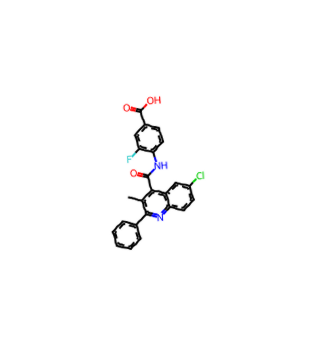 Cc1c(-c2ccccc2)nc2ccc(Cl)cc2c1C(=O)Nc1ccc(C(=O)O)cc1F